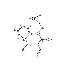 C=CCC(=O)OCC1CO1.C=Cc1ccccc1